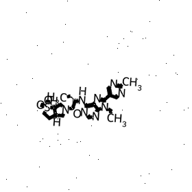 CC[C@H](Nc1ncnc2c1nc(-c1cnc(C)nc1)n2CC)C(=O)N1C[C@@H]2CCS(=O)(=O)[C@H]2C1